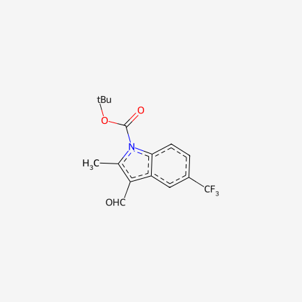 Cc1c(C=O)c2cc(C(F)(F)F)ccc2n1C(=O)OC(C)(C)C